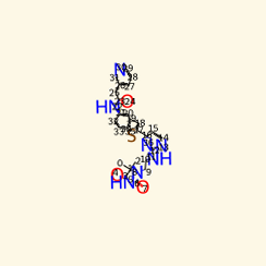 CC1(C)C(=O)NC(=O)N1CCNc1nccc(-c2cc3cc(NC(=O)Cc4cccnc4)ccc3s2)n1